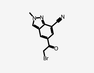 Cn1cc2cc(C(=O)CBr)cc(C#N)c2n1